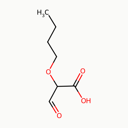 CCCCOC(C=O)C(=O)O